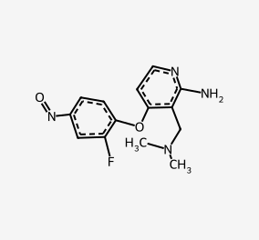 CN(C)Cc1c(Oc2ccc(N=O)cc2F)ccnc1N